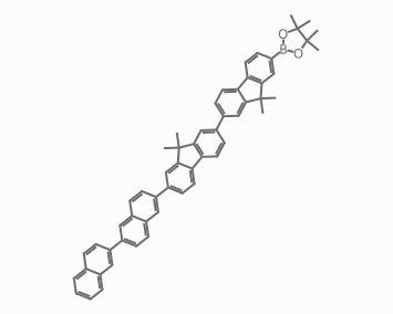 CC1(C)c2cc(B3OC(C)(C)C(C)(C)O3)ccc2-c2ccc(-c3ccc4c(c3)C(C)(C)c3cc(-c5ccc6cc(-c7ccc8ccccc8c7)ccc6c5)ccc3-4)cc21